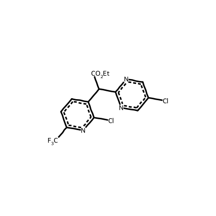 CCOC(=O)C(c1ncc(Cl)cn1)c1ccc(C(F)(F)F)nc1Cl